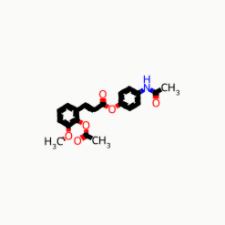 COc1cccc(/C=C/C(=O)Oc2ccc(NC(C)=O)cc2)c1OC(C)=O